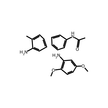 CC(=O)Nc1ccccc1.COc1ccc(OC)c(N)c1.Cc1ccccc1N